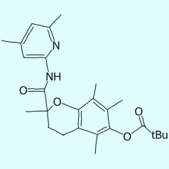 Cc1cc(C)nc(NC(=O)C2(C)CCc3c(C)c(OC(=O)C(C)(C)C)c(C)c(C)c3O2)c1